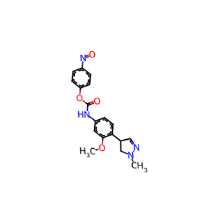 COc1cc(NC(=O)Oc2ccc(N=O)cc2)ccc1C1C=NN(C)C1